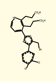 CC(C)Cc1sc(C2=CC=CNC(CCC(=O)O)=C2CCC(=O)O)nc1-c1ccc(Cl)c(Cl)c1